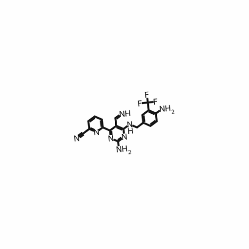 N#Cc1cccc(-c2nc(N)nc(NCc3ccc(N)c(C(F)(F)F)c3)c2C=N)n1